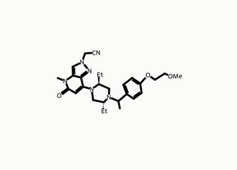 CC[C@H]1CN(C(C)c2ccc(OCCOC)cc2)[C@H](CC)CN1c1cc(=O)n(C)c2cn(CC#N)nc12